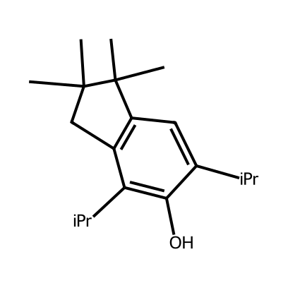 CC(C)c1cc2c(c(C(C)C)c1O)CC(C)(C)C2(C)C